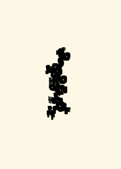 CN(C)C(=O)C=CCCC(OC(=O)N(C)C)C(=O)Nc1cncn(Cc2cc3cc(F)cc(CCC(F)(F)F)c3[nH]2)c1=O